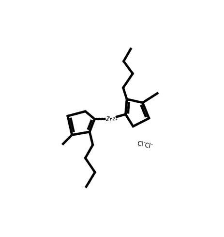 CCCCC1=[C]([Zr+2][C]2=C(CCCC)C(C)=CC2)CC=C1C.[Cl-].[Cl-]